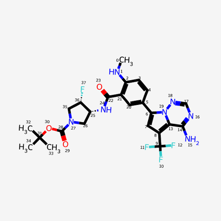 CNc1ccc(-c2cc(C(F)(F)F)c3c(N)ncnn23)cc1C(=O)N[C@@H]1CN(C(=O)OC(C)(C)C)C[C@@H]1F